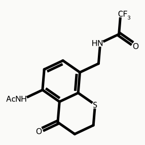 CC(=O)Nc1ccc(CNC(=O)C(F)(F)F)c2c1C(=O)CCS2